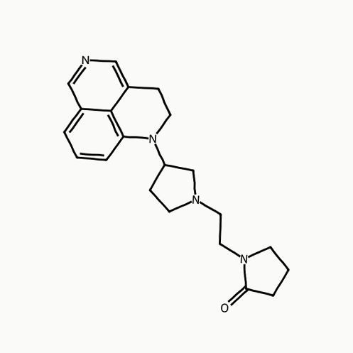 O=C1CCCN1CCN1CCC(N2CCc3cncc4cccc2c34)C1